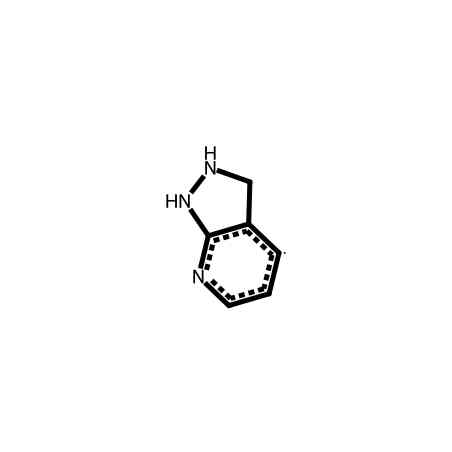 [c]1ccnc2c1CNN2